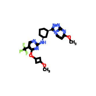 COc1ccn2c([C@H]3CCC[C@@H](Nc4ncc(C(F)(F)F)c(OC5CC(OC)C5)n4)C3)nnc2n1